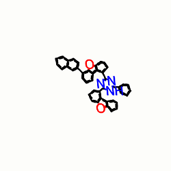 c1ccc(C2=NC(c3cccc4oc5c(-c6ccc7ccccc7c6)cccc5c34)=NC(c3cccc4oc5ccccc5c34)N2)cc1